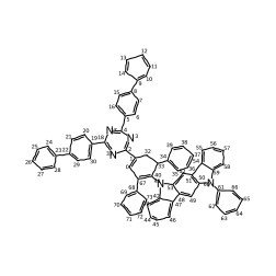 C1=C(c2nc(-c3ccc(-c4ccccc4)cc3)nc(-c3ccc(-c4ccccc4)cc3)n2)CC(c2ccccc2)C(n2c3ccccc3c3cc4c(cc32)c2ccccc2n4-c2ccccc2)=C1c1ccccc1